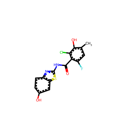 Cc1cc(F)c(C(=O)Nc2nc3ccc(O)cc3s2)c(Cl)c1O